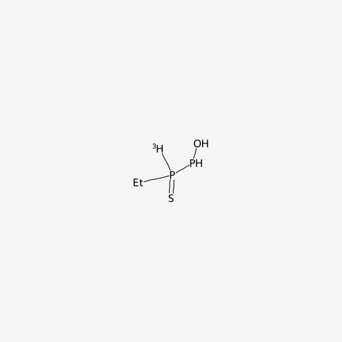 [3H]P(=S)(CC)PO